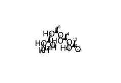 CC(=O)O.CC(=O)O.CC(=O)O.CC(=O)O.[KH].[NaH]